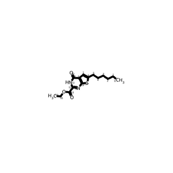 CCCCCCc1cc2c(=O)[nH]c(C(=O)OCC)nc2s1